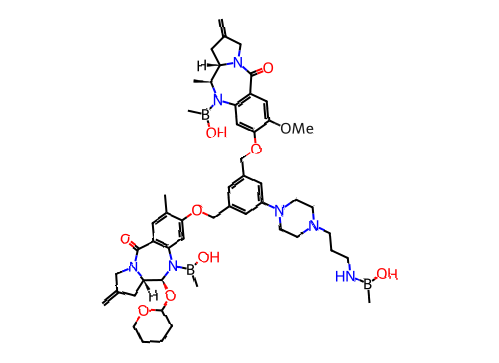 C=C1C[C@H]2[C@H](C)N(B(C)O)c3cc(OCc4cc(COc5cc6c(cc5C)C(=O)N5CC(=C)C[C@H]5[C@H](OC5CCCCO5)N6B(C)O)cc(N5CCN(CCCNB(C)O)CC5)c4)c(OC)cc3C(=O)N2C1